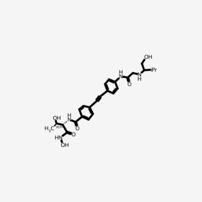 CC(C)C(CO)NCC(=O)Nc1ccc(C#Cc2ccc(C(=O)N[C@H](C(=O)NO)[C@@H](C)O)cc2)cc1